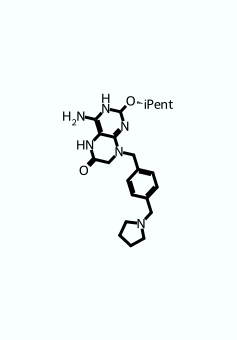 CCC[C@@H](C)OC1N=C2C(=C(N)N1)NC(=O)CN2Cc1ccc(CN2CCCC2)cc1